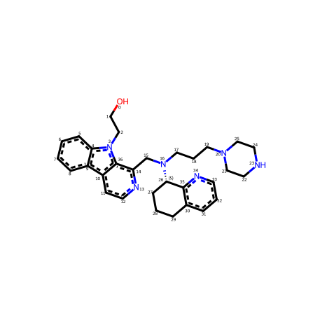 OCCn1c2ccccc2c2ccnc(CN(CCCN3CCNCC3)[C@H]3CCCc4cccnc43)c21